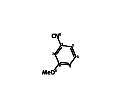 [C-]#[N+]c1cccc(OC)c1